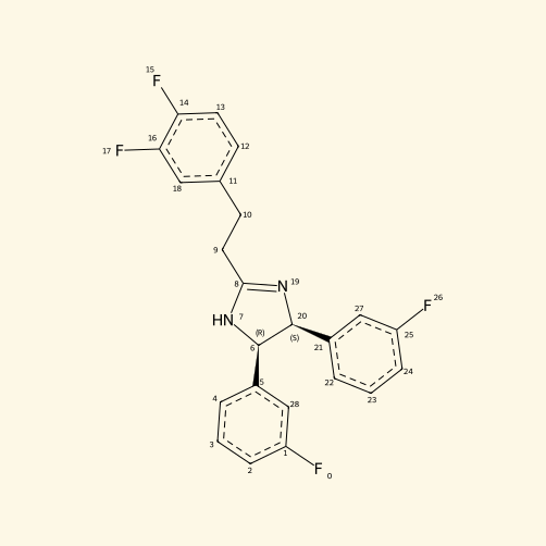 Fc1cccc([C@H]2NC(CCc3ccc(F)c(F)c3)=N[C@H]2c2cccc(F)c2)c1